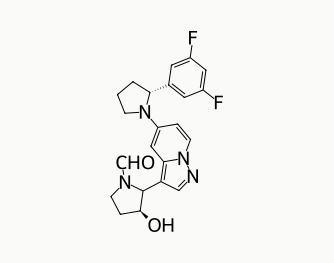 O=CN1CC[C@H](O)C1c1cnn2ccc(N3CCC[C@@H]3c3cc(F)cc(F)c3)cc12